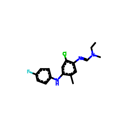 CCN(C)C=Nc1cc(C)c(Nc2ccc(F)cc2)cc1Cl